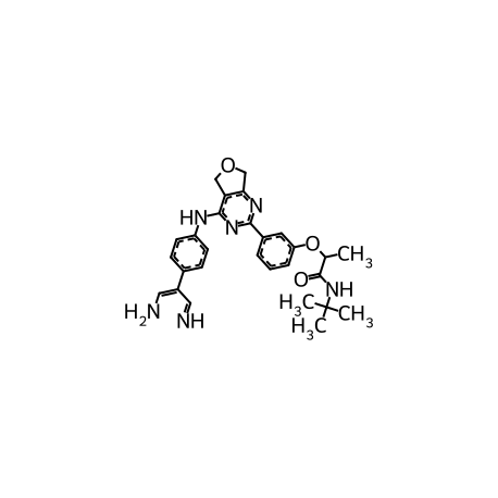 CC(Oc1cccc(-c2nc3c(c(Nc4ccc(/C(C=N)=C/N)cc4)n2)COC3)c1)C(=O)NC(C)(C)C